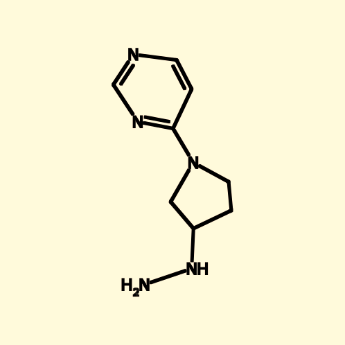 NNC1CCN(c2ccncn2)C1